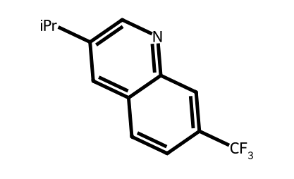 CC(C)c1cnc2cc(C(F)(F)F)ccc2c1